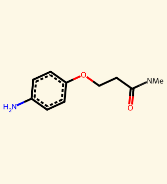 CNC(=O)CCOc1ccc(N)cc1